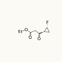 CCOC(=O)CC(=O)[C@@H]1C[C@H]1F